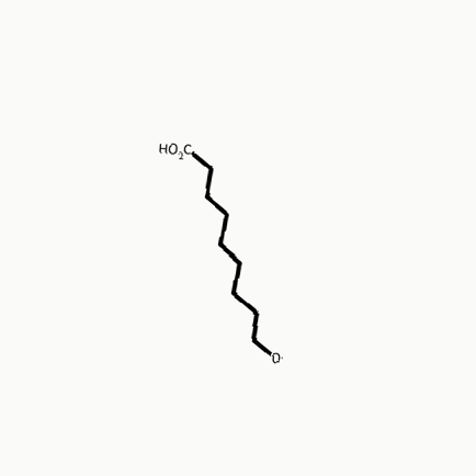 [O]CCCCCCCCC(=O)O